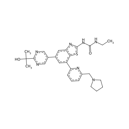 CCNC(=O)Nc1nc2cc(-c3cnc(C(C)(C)O)nc3)cc(-c3cccc(CN4CCCC4)n3)c2s1